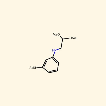 COC(CNc1cccc(NC(C)=O)c1)OC